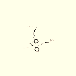 CCCCCCCCCCCC#CCCCc1ccccc1N=C(C)C(CCCCC)=Nc1ccccc1CCCC#CCCCCCCCCCCC.[Ni]